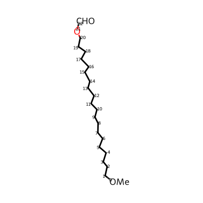 COCCCCCCCCCCCCCCCCCCCCOC=O